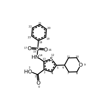 O=C(O)c1cc(C2CCOCC2)sc1NS(=O)(=O)c1ccccc1